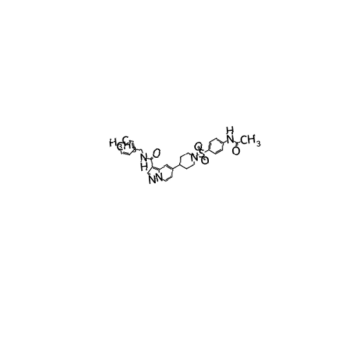 C/C=C\C(=C/C)CNC(=O)c1cnn2ccc(C3CCN(S(=O)(=O)c4ccc(NC(C)=O)cc4)CC3)cc12